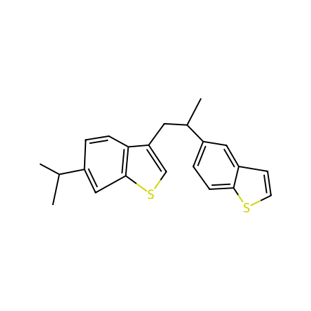 CC(C)c1ccc2c(CC(C)c3ccc4sccc4c3)csc2c1